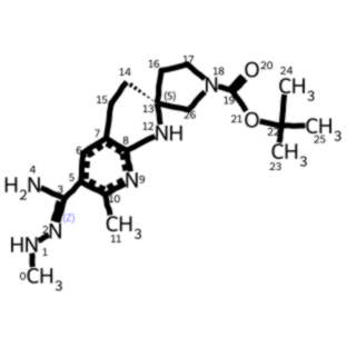 CN/N=C(\N)c1cc2c(nc1C)N[C@@]1(CC2)CCN(C(=O)OC(C)(C)C)C1